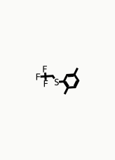 Cc1ccc(C)c(SCC(F)(F)F)c1